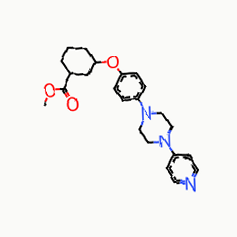 COC(=O)C1CCCC(Oc2ccc(N3CCN(c4ccncc4)CC3)cc2)C1